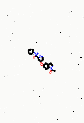 CC(=O)N1CCc2cc(Oc3ccnc(C(=O)Nc4ccccc4)c3)ccc21